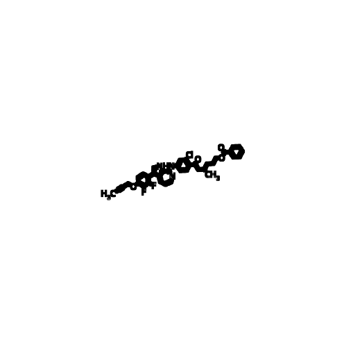 CC#CCOc1ccc(-c2cnc3c(Nc4ccc(C(=O)CC(C)CCCOC(=O)c5ccccc5)c(Cl)c4)ncccc2-3)c(F)c1F